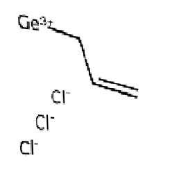 C=C[CH2][Ge+3].[Cl-].[Cl-].[Cl-]